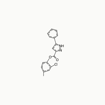 Cc1ccc(OC(=O)c2cc(-c3ccccc3)[nH]n2)c(Cl)c1